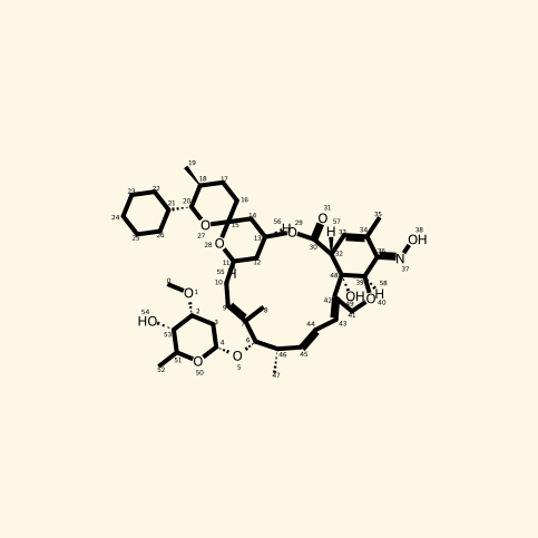 CO[C@@H]1C[C@H](O[C@@H]2/C(C)=C/C[C@@H]3C[C@@H](CC4(CC[C@H](C)[C@@H](C5CCCCC5)O4)O3)OC(=O)[C@@H]3C=C(C)/C(=N\O)[C@H]4OC/C(=C\C=C\[C@@H]2C)[C@]43O)OC(C)[C@@H]1O